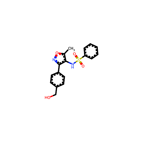 Cc1onc(-c2ccc(CO)cc2)c1NS(=O)(=O)c1ccccc1